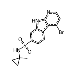 CC1(NS(=O)(=O)c2ccc3c(c2)[nH]c2nccc(Br)c23)CC1